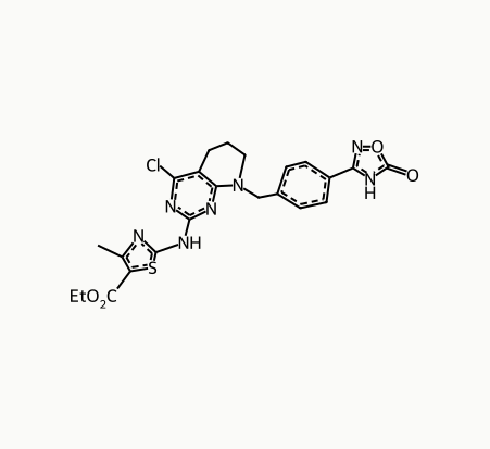 CCOC(=O)c1sc(Nc2nc(Cl)c3c(n2)N(Cc2ccc(-c4noc(=O)[nH]4)cc2)CCC3)nc1C